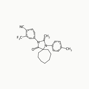 C=C1N(c2ccc(C#N)c(C(F)(F)F)c2)C(=O)C2(CCCCCCC2)N1c1ccc(C)cc1